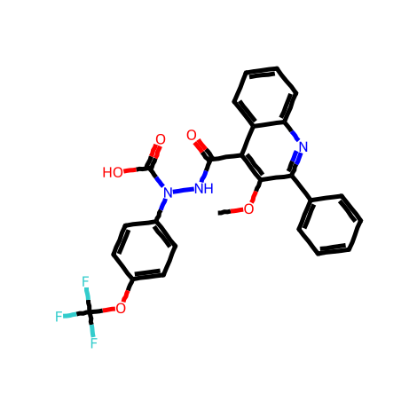 COc1c(-c2ccccc2)nc2ccccc2c1C(=O)NN(C(=O)O)c1ccc(OC(F)(F)F)cc1